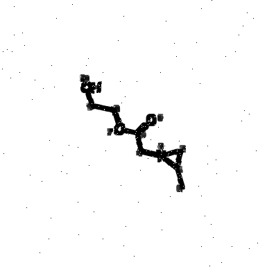 CC1CN1CC(=O)OCCO